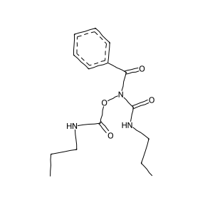 CCCNC(=O)ON(C(=O)NCCC)C(=O)c1ccccc1